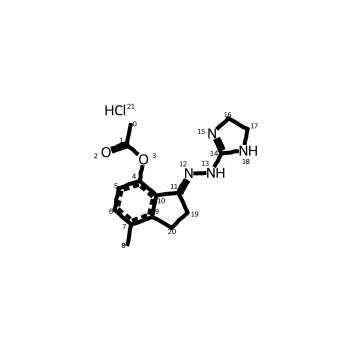 CC(=O)Oc1ccc(C)c2c1C(=NNC1=NCCN1)CC2.Cl